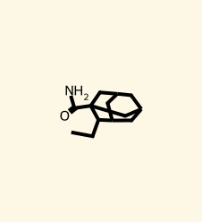 CCC1C2CC3CC(C2)CC1(C(N)=O)C3